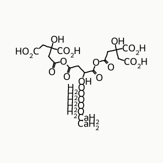 O.O.O.O.O.O=C(O)CC(O)(CC(=O)OC(=O)CC(O)C(=O)OC(=O)CC(O)(CC(=O)O)C(=O)O)C(=O)O.[CaH2].[CaH2]